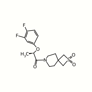 C[C@@H](Oc1ccc(F)c(F)c1)C(=O)N1CCC2(CC1)CS(=O)(=O)C2